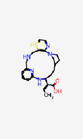 CC=C(C(=O)O)C1CCC2CCN(C2)C2=C(CNCc3cccc(n3)N1)[SH]=CC=N2